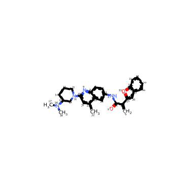 C=C(C(=O)Nc1ccc2nc(N3CCCC(N(C)C)C3)cc(C)c2c1)c1cc2ccccc2o1